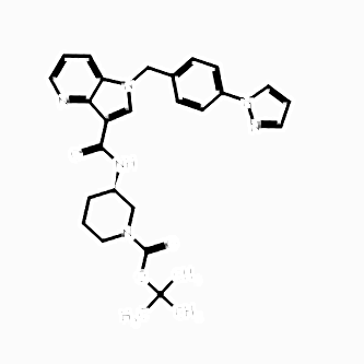 CC(C)(C)OC(=O)N1CCC[C@@H](NC(=O)c2cn(Cc3ccc(-n4cccn4)cc3)c3cccnc23)C1